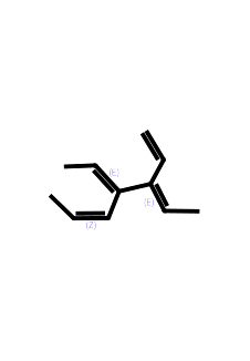 C=CC(=C\C)/C(/C=C\C)=C/C